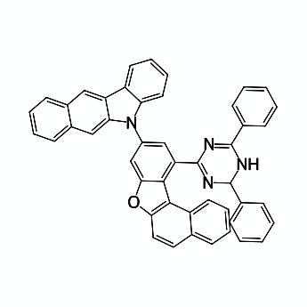 c1ccc(C2=NC(c3cc(-n4c5ccccc5c5cc6ccccc6cc54)cc4oc5ccc6ccccc6c5c34)=NC(c3ccccc3)N2)cc1